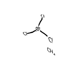 C.[Cl][Rh]([Cl])[Cl]